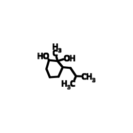 CC(C)CC1CCCC(O)C1(C)O